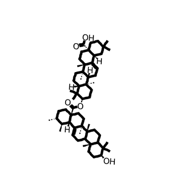 C[C@H]1[C@H](C)CC[C@]2(C(=O)O[C@H]3CC[C@]4(C)[C@H]5CC=C6[C@@H]7CC(C)(C)CC[C@]7(C(=O)O)CC[C@@]6(C)[C@]5(C)CC[C@H]4C3(C)C)CC[C@]3(C)C(=CCC4[C@@]5(C)CC[C@H](O)C(C)(C)C5CC[C@]43C)[C@H]12